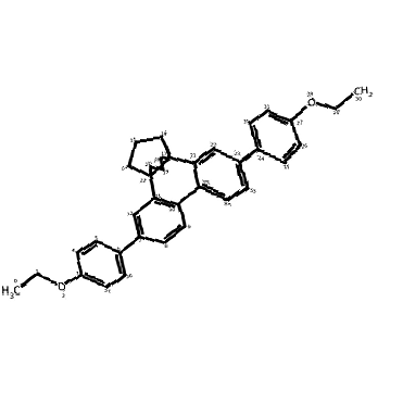 CCOc1ccc(-c2ccc3c(c2)C24CCCC2(CCC4)c2cc(-c4ccc(OCC)cc4)ccc2-3)cc1